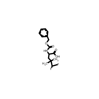 CC(C)(CC(NC(=O)OCc1ccccc1)C(=O)O)C(F)F